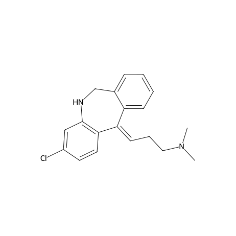 CN(C)CC/C=C1\c2ccccc2CNc2cc(Cl)ccc21